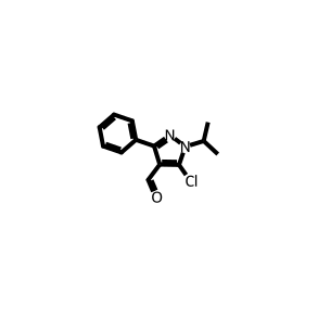 CC(C)n1nc(-c2ccccc2)c(C=O)c1Cl